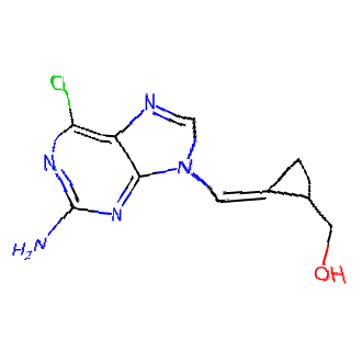 Nc1nc(Cl)c2ncn(C=C3CC3CO)c2n1